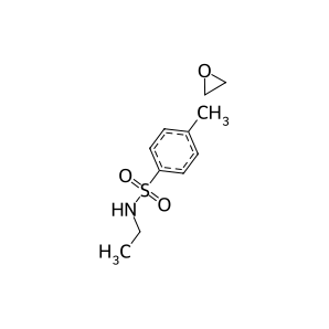 C1CO1.CCNS(=O)(=O)c1ccc(C)cc1